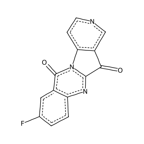 O=C1c2cnccc2-n2c1nc1ccc(F)cc1c2=O